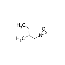 CCC(C)CN1[CH]O1